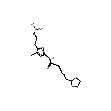 Cc1nc(NC(=O)CCCCC2CCSS2)sc1CCON(O)O